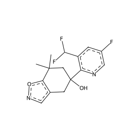 CC1(C)CC(O)(c2ncc(F)cc2C(F)F)Cc2cnoc21